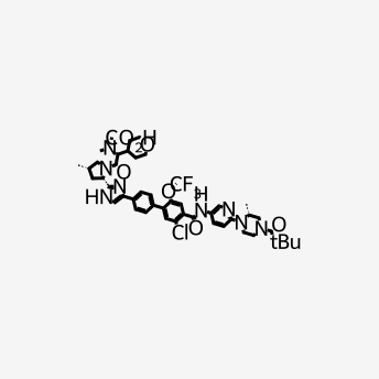 C[C@H]1C[C@@H](c2nc(-c3ccc(-c4cc(Cl)c(C(=O)Nc5ccc(N6CCN(C(=O)C(C)(C)C)C[C@H]6C)nc5)cc4OC(F)(F)F)cc3)c[nH]2)N(C(=O)[C@H](C2CCOCC2)N(C)C(=O)O)C1